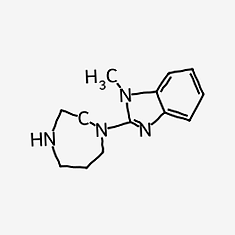 Cn1c(N2CCCNCC2)nc2ccccc21